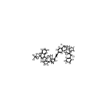 C[C@H](NC(=O)[C@@H]1CCCN1C(=O)[C@H](C)c1ccccc1)c1ccc(C#Cc2cnc([C@@H]3CCCN3C(=O)[C@H](NC(=O)OC(C)(C)C)c3ccccc3)[nH]2)cc1